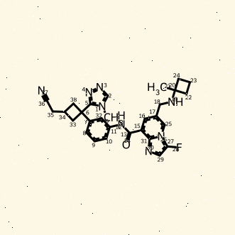 Cn1cnnc1C1(c2cccc(NC(=O)c3cc(CNC4(C)CCC4)cn4c(F)cnc34)c2)CC(CC#N)C1